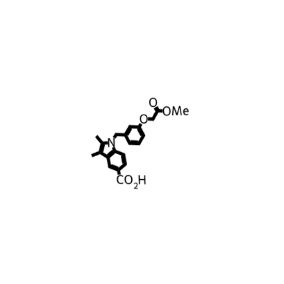 COC(=O)COc1cccc(Cn2c(C)c(C)c3cc(C(=O)O)ccc32)c1